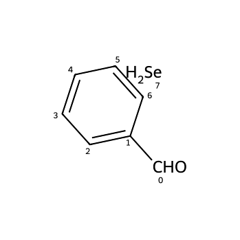 O=Cc1ccccc1.[SeH2]